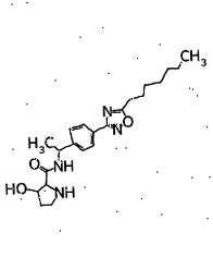 CCCCCCCc1nc(-c2ccc(C(C)NC(=O)C3NCCC3O)cc2)no1